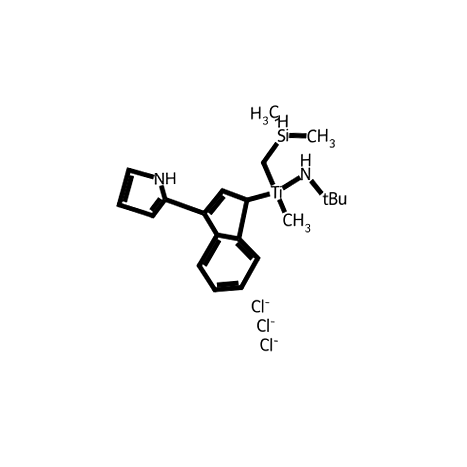 C[SiH](C)[CH2][Ti]([CH3])([NH]C(C)(C)C)[CH]1C=C(c2ccc[nH]2)c2ccccc21.[Cl-].[Cl-].[Cl-]